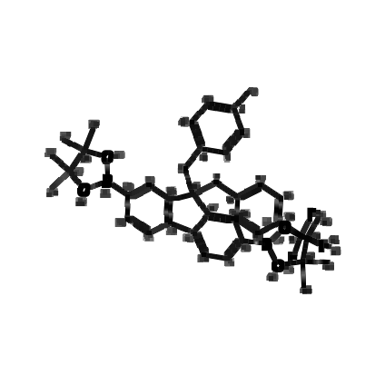 Cc1ccc(CC2(Cc3ccc(C(F)(F)F)cc3)c3cc(B4OC(C)(C)C(C)(C)O4)ccc3-c3ccc(B4OC(C)(C)C(C)(C)O4)cc32)cc1